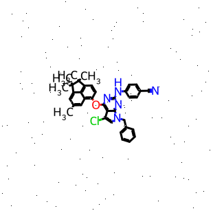 Cc1cc2c3c(ccc(Oc4nc(Nc5ccc(C#N)cc5)nc5c4c(Cl)cn5Cc4ccccc4)c3c1)C(C)(C)C2(C)C